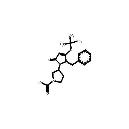 CC(C)(C)OC1=CC(=O)N(C2CCN(C(=O)O)C2)C1Cc1ccccc1